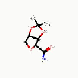 CC1(C)OC2COC(C(N)=O)C2O1